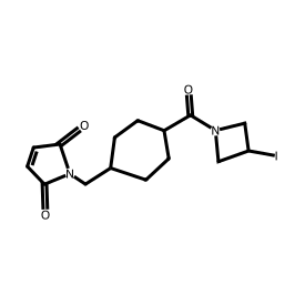 O=C(C1CCC(CN2C(=O)C=CC2=O)CC1)N1CC(I)C1